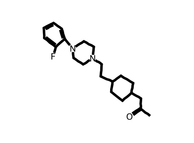 CC(=O)CC1CCC(CCN2CCN(c3ccccc3F)CC2)CC1